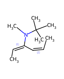 C/C=C\C(=C/C)N(C)C(C)(C)C